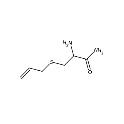 C=CCSCC(N)C(N)=O